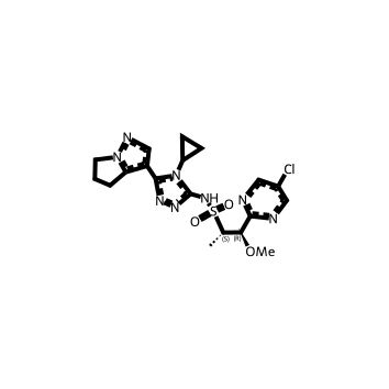 CO[C@H](c1ncc(Cl)cn1)[C@H](C)S(=O)(=O)Nc1nnc(-c2cnn3c2CCC3)n1C1CC1